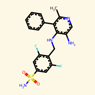 Cc1ncc(N)c(NCc2c(F)cc(S(N)(=O)=O)cc2F)c1-c1ccccc1